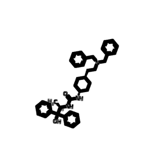 C[C@@H](NC(=O)N[C@H]1CC[C@H](CCN(Cc2ccccc2)Cc2ccccc2)CC1)C(O)(c1ccccc1)c1ccccc1